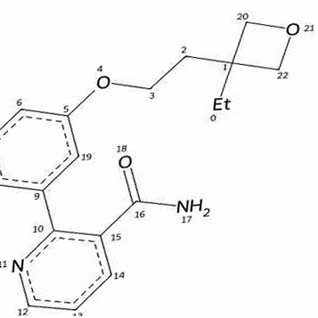 CCC1(CCOc2cccc(-c3ncccc3C(N)=O)c2)COC1